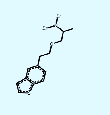 CCN(CC)C(C)COCCc1ccc2sccc2c1